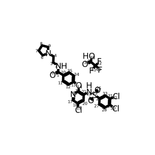 O=C(NCCN1CCCC1)c1ccc(Oc2ncc(Cl)cc2NS(=O)(=O)c2ccc(Cl)c(Cl)c2)cc1.O=C(O)C(F)(F)F